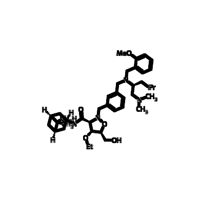 CCO[C@@H]1[C@H](CO)ON(Cc2cccc(CN(Cc3ccccc3OC)[C@@H](CC(C)C)CN(C)C)c2)[C@@H]1C(=O)N[C@@H]1C[C@@H]2C[C@H](C1)C2(C)C